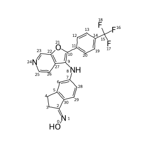 ON=C1CCc2cc(Nc3c(-c4ccc(C(F)(F)F)cc4)oc4cnccc34)ccc21